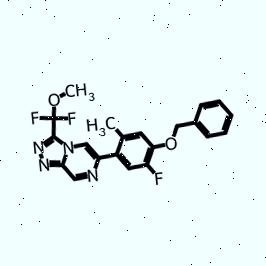 COC(F)(F)c1nnc2cnc(-c3cc(F)c(OCc4ccccc4)cc3C)cn12